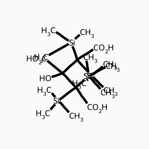 C[Si](C)(C)C(C(=O)O)(C(O)(C(=O)O)C(C(=O)O)([Si](C)(C)C)[Si](C)(C)C)[Si](C)(C)C